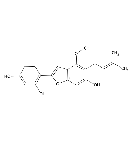 COc1c(CC=C(C)C)c(O)cc2oc(-c3ccc(O)cc3O)cc12